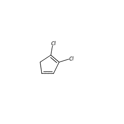 ClC1=C(Cl)CC=C1